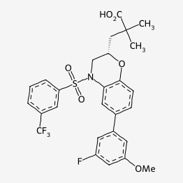 COc1cc(F)cc(-c2ccc3c(c2)N(S(=O)(=O)c2cccc(C(F)(F)F)c2)C[C@H](CC(C)(C)C(=O)O)O3)c1